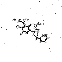 CCC(C(=O)O)c1c(F)c(N(CC(F)(F)c2ccccn2)C(=O)OC(C)(C)C)nc(F)c1Cl